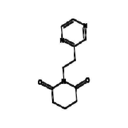 O=C1CCCC(=O)N1CCc1cnccn1